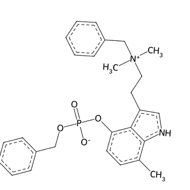 Cc1ccc(OP(=O)([O-])OCc2ccccc2)c2c(CC[N+](C)(C)Cc3ccccc3)c[nH]c12